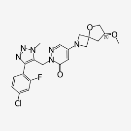 CO[C@@H]1COC2(C1)CN(c1cnn(Cc3c(-c4ccc(Cl)cc4F)nnn3C)c(=O)c1)C2